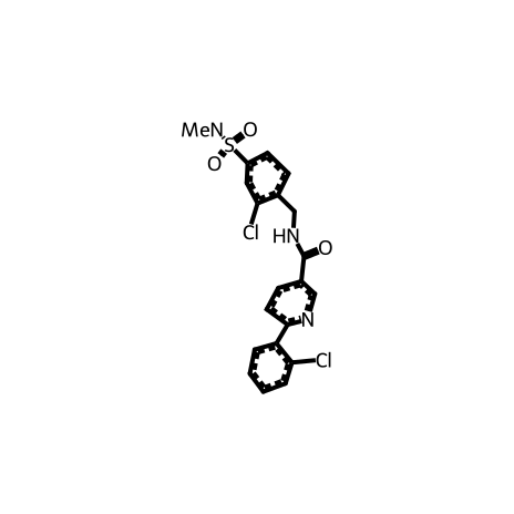 CNS(=O)(=O)c1ccc(CNC(=O)c2ccc(-c3ccccc3Cl)nc2)c(Cl)c1